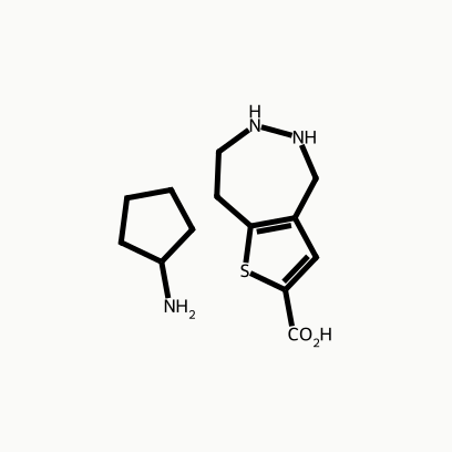 NC1CCCC1.O=C(O)c1cc2c(s1)CCNNC2